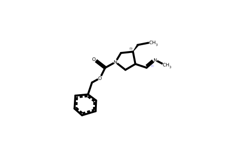 CC[C@@H]1CN(C(=O)OCc2ccccc2)CC1/C=N/C